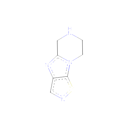 c1nsc2c1nc1n2CCNC1